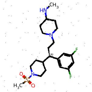 CNC1CCN(CC[C@@H](c2cc(F)cc(F)c2)C2CCN(S(C)(=O)=O)CC2)CC1